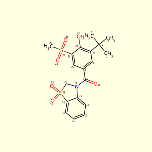 CC(C)(C)c1cc(C(=O)N2CS(=O)(=O)c3ccccc32)cc(S(C)(=O)=O)c1O